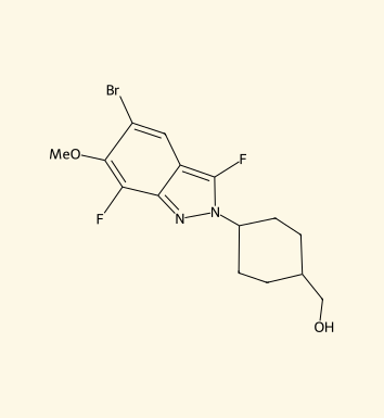 COc1c(Br)cc2c(F)n(C3CCC(CO)CC3)nc2c1F